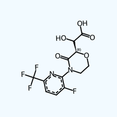 O=C(O)C(O)[C@H]1OCCN(c2nc(C(F)(F)F)ccc2F)C1=O